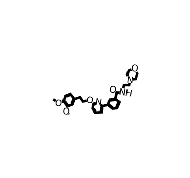 COc1ccc(CCOc2cccc(-c3cccc(C(=O)NCCN4CCOCC4)c3)n2)cc1OC